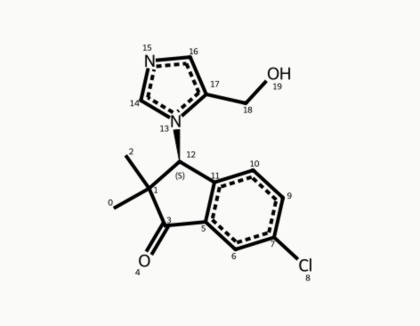 CC1(C)C(=O)c2cc(Cl)ccc2[C@@H]1n1cncc1CO